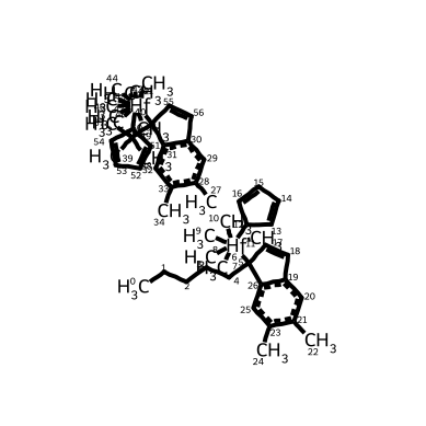 CCCCC[C]1([Hf]([CH3])([CH3])([CH3])([CH3])([CH3])[CH]2C=CC=C2)C=Cc2cc(C)c(C)cc21.Cc1cc2c(cc1C)[C](C(C)(C)C)([Hf]([CH3])([CH3])([CH3])([CH3])([CH3])([CH3])([CH3])([CH3])([CH3])[CH]1C=CC=C1)C=C2